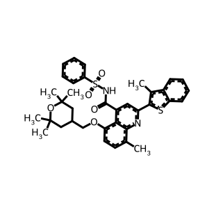 Cc1c(-c2cc(C(=O)NS(=O)(=O)c3ccccc3)c3c(OCC4CC(C)(C)OC(C)(C)C4)ccc(C)c3n2)sc2ccccc12